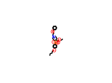 CCCCOc1ccc(S(=O)(=O)C2(C(=O)OCC)CCN(CCOc3ccccc3)CC2)cc1